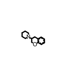 c1ccc2c(c1)CC(N1CCCCC1)CO2